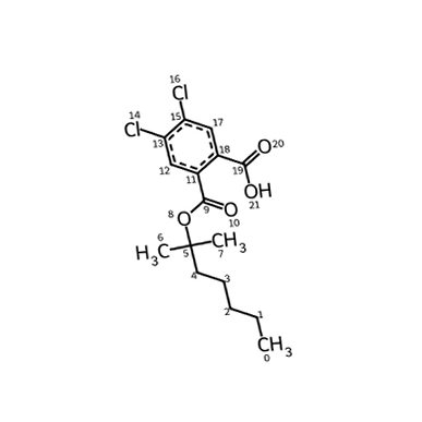 CCCCCC(C)(C)OC(=O)c1cc(Cl)c(Cl)cc1C(=O)O